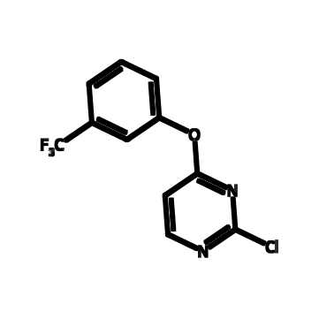 FC(F)(F)c1cccc(Oc2ccnc(Cl)n2)c1